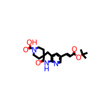 CC(C)(C)OC(=O)C=Cc1cnc2c(c1)CC1(CCN(C(=O)O)CC1)C(=O)N2